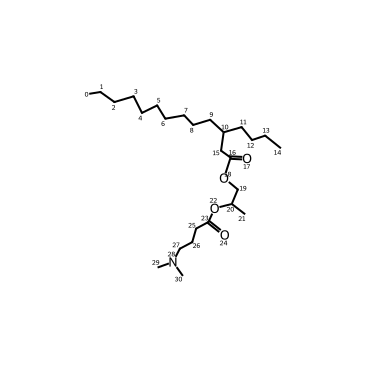 CCCCCCCCCCC(CCCC)CC(=O)OCC(C)OC(=O)CCCN(C)C